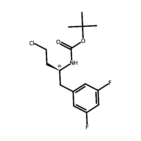 CC(C)(C)OC(=O)N[C@H](CCCl)Cc1cc(F)cc(F)c1